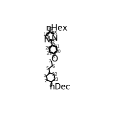 CCCCCCCCCCC1CCC(CCCOc2ccc(-c3ncc(CCCCCC)cn3)cc2)CC1